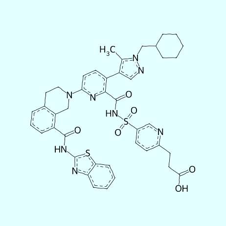 Cc1c(-c2ccc(N3CCc4cccc(C(=O)Nc5nc6ccccc6s5)c4C3)nc2C(=O)NS(=O)(=O)c2ccc(CCC(=O)O)nc2)cnn1CC1CCCCC1